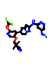 CC(C)(C#N)COc1cnc(OC(F)F)cc1-c1ccn2nc(Nc3cc(N)cnn3)cc2c1